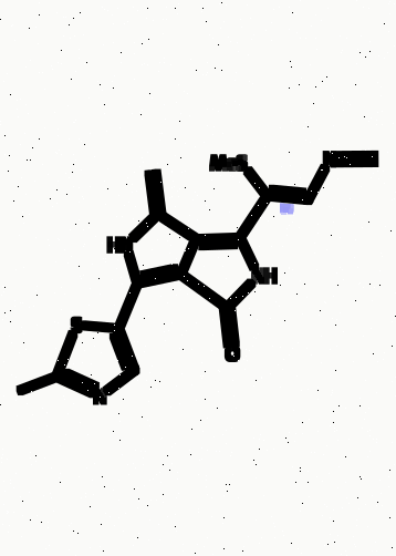 C=N/C=C(\SC)C1=c2c(c(-c3cnc(C)s3)[nH]c2=C)C(=O)N1